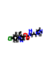 O=C(NCCCn1ccnc1)Oc1cnn(-c2ccc(Cl)cc2)c1C(F)(F)F